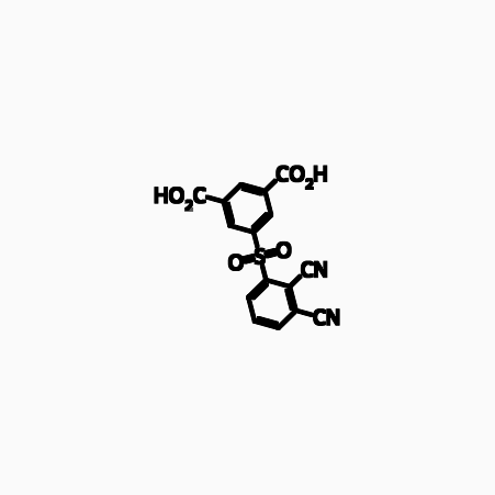 N#Cc1cccc(S(=O)(=O)c2cc(C(=O)O)cc(C(=O)O)c2)c1C#N